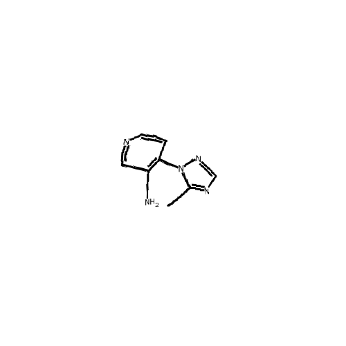 Cc1ncnn1-c1ccncc1N